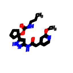 CCCNC(=O)OC1(c2cc(NC(=O)Cc3ccnc(OC)c3)n[nH]2)CCCC1